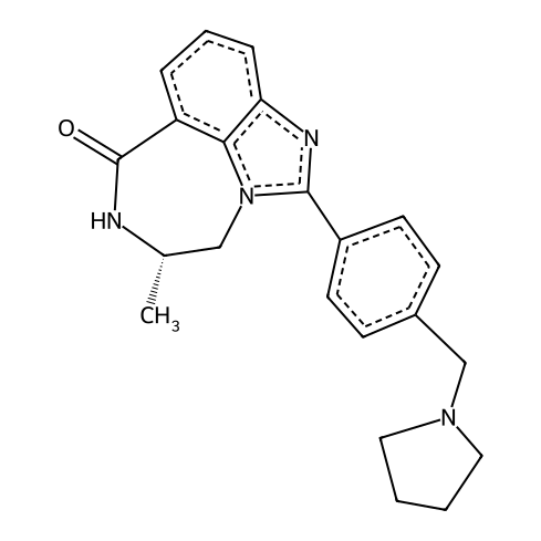 C[C@H]1Cn2c(-c3ccc(CN4CCCC4)cc3)nc3cccc(c32)C(=O)N1